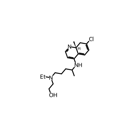 CCN(CCO)CCCC(C)NC1=CC=N[C@]2(C)CC(Cl)=CC=C12